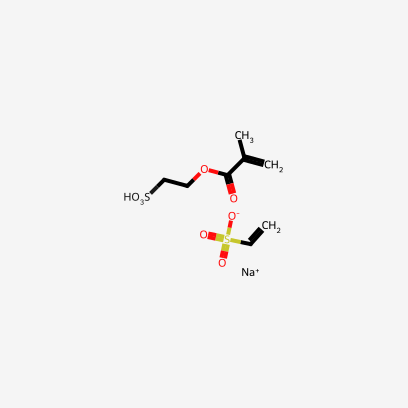 C=C(C)C(=O)OCCS(=O)(=O)O.C=CS(=O)(=O)[O-].[Na+]